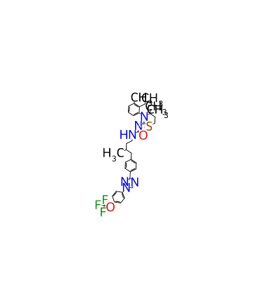 Cc1cccc(N2/C(=N/C(=O)NCCC(C)Cc3ccc(-c4ncn(-c5ccc(OC(F)(F)F)cc5)n4)cc3)SCCC2C)c1C(C)C